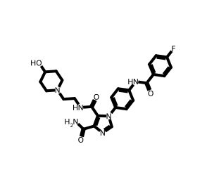 NC(=O)c1ncn(-c2ccc(NC(=O)c3ccc(F)cc3)cc2)c1C(=O)NCCN1CCC(O)CC1